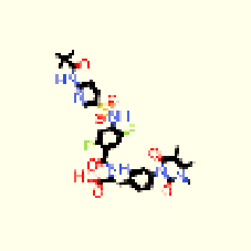 Cc1c(C)n(C)c(=O)n(-c2ccc(C[C@H](NC(=O)c3cc(F)c(NS(=O)(=O)c4ccc(NC(=O)C(C)(C)C)nc4)cc3F)C(=O)O)cc2)c1=O